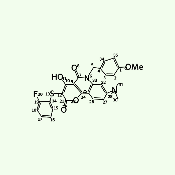 COc1ccc(Cn2c(=O)c3c(O)c(Sc4ccccc4F)c(=O)oc3c3ccc(N(C)C)cc32)cc1